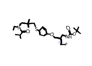 CCN(CC(C)(C)CSc1ccc(OC/C(=C/F)CNC(=O)OC(C)(C)C)cc1)C(=O)C(C)C